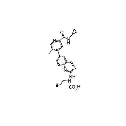 Cc1cnc(C(=O)NC2CC2)cc1-c1ccc2nc(NN(CC(C)C)C(=O)O)ncc2c1